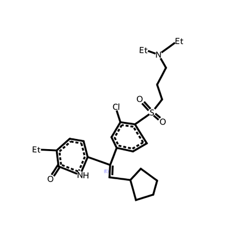 CCc1ccc(/C(=C/C2CCCC2)c2ccc(S(=O)(=O)CCCN(CC)CC)c(Cl)c2)[nH]c1=O